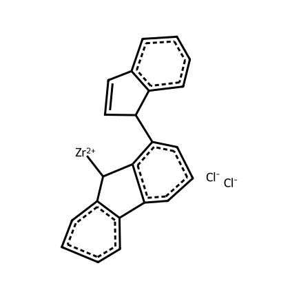 [Cl-].[Cl-].[Zr+2][CH]1c2ccccc2-c2cccc(C3C=Cc4ccccc43)c21